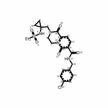 CCS(=O)(=O)NC1(CN2CCn3c(ccc(C(=O)NCc4ccc(Cl)cc4)c3=O)C2=O)CC1